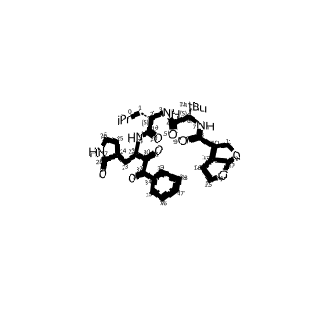 CC(C)C[C@H](NC(=O)[C@@H](NC(=O)C1COC2OCCC21)C(C)(C)C)C(=O)NC(CC1CCNC1=O)C(=O)C(=O)c1ccccc1